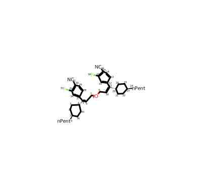 CCCCC[C@H]1CC[C@H](C(=CCOCC=C(c2ccc(C#N)c(F)c2)[C@H]2CC[C@H](CCCCC)CC2)c2ccc(C#N)c(F)c2)CC1